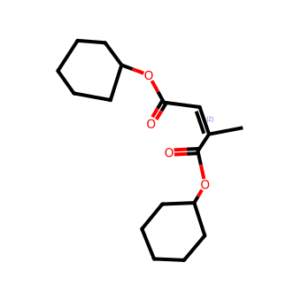 C/C(=C/C(=O)OC1CCCCC1)C(=O)OC1CCCCC1